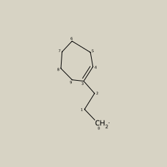 [CH2]CCC1=CCCCCC1